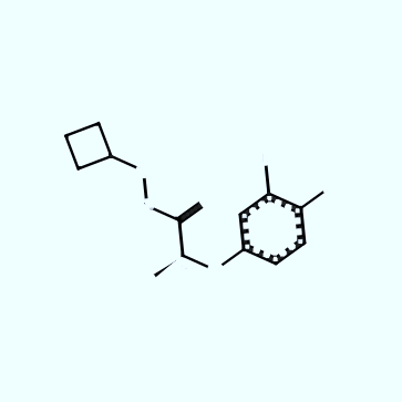 C[C@H](Oc1ccc(Cl)c(F)c1)C(=O)NOC1CCC1